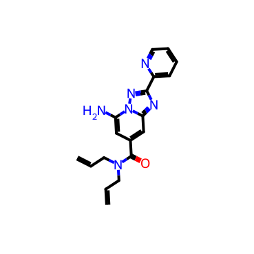 C=CCN(CC=C)C(=O)c1cc(N)n2nc(-c3ccccn3)nc2c1